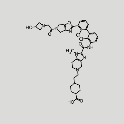 Cn1c(C(=O)Nc2cccc(-c3cccc(-c4nc5c(o4)CN(C(=O)CN4CC(O)C4)C5)c3Cl)c2Cl)nc2c1CCN(CCC1CCC(C(=O)O)CC1)C2